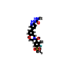 CCNC(=O)Nc1ccc(-c2ccc3c(c2)CN(C(=O)c2ccc(S(C)(=O)=O)c(F)c2CC)CCO3)cn1